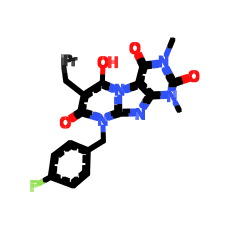 CC(C)Cc1c(O)n2c3c(=O)n(C)c(=O)n(C)c3nc2n(Cc2ccc(F)cc2)c1=O